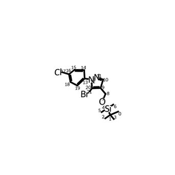 CC(C)(C)[Si](C)(C)OCc1cnn(-c2ccc(Cl)cc2)c1Br